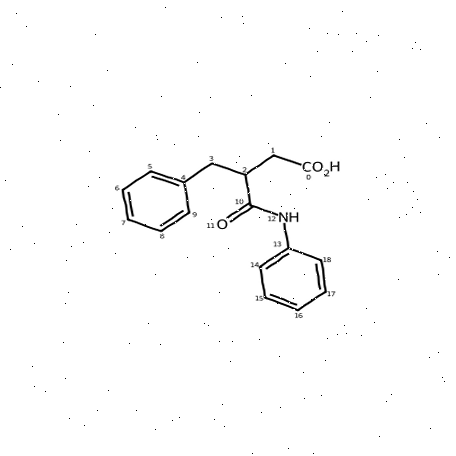 O=C(O)CC(Cc1ccccc1)C(=O)Nc1ccccc1